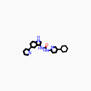 O=C(Nc1ccc(C2CCCCC2)cn1)Nc1c[nH]c2ccc(-c3ccccn3)cc12